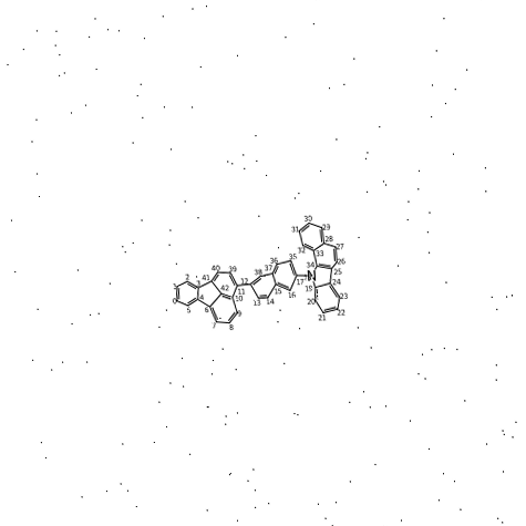 c1ccc2c(c1)-c1cccc3c(-c4ccc5cc(-n6c7ccccc7c7ccc8ccccc8c76)ccc5c4)ccc-2c13